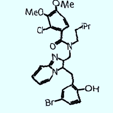 COc1ccc(C(=O)N(CCC(C)C)CC2N=C3C=CC=CN3C2Cc2cc(Br)ccc2O)c(Cl)c1OC